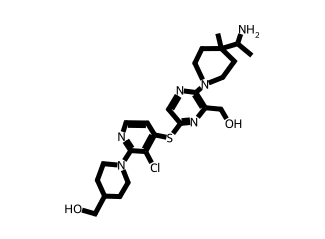 CC(N)C1(C)CCN(c2ncc(Sc3ccnc(N4CCC(CO)CC4)c3Cl)nc2CO)CC1